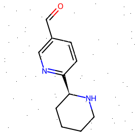 O=Cc1ccc([C@@H]2CCCCN2)nc1